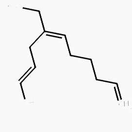 C=CCCCC=C(CC=CC)COC(C)=O